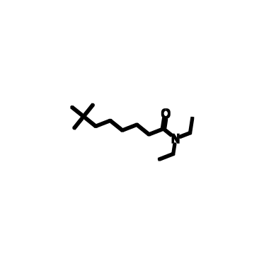 CCN(CC)C(=O)CCCCCC(C)(C)C